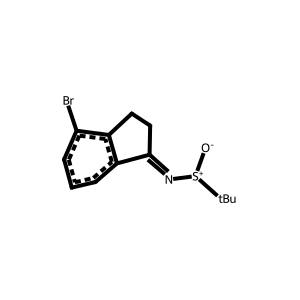 CC(C)(C)[S+]([O-])/N=C1\CCc2c(Br)cccc21